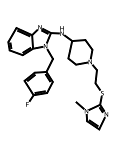 Cn1ccnc1SCCN1CCC(Nc2nc3ccccc3n2Cc2ccc(F)cc2)CC1